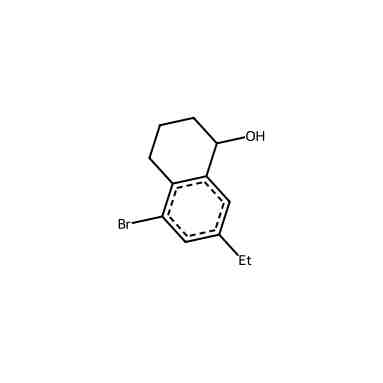 CCc1cc(Br)c2c(c1)C(O)CCC2